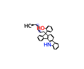 C#C/C=C\C=C/CC1(c2ccccc2O)c2ccccc2-c2c1ccc1c2[nH]c2ccccc21